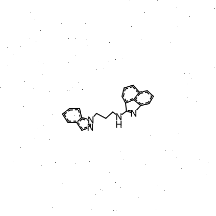 c1cc2c3c(cccc3c1)C(NCCCn1ncc3ccccc31)=N2